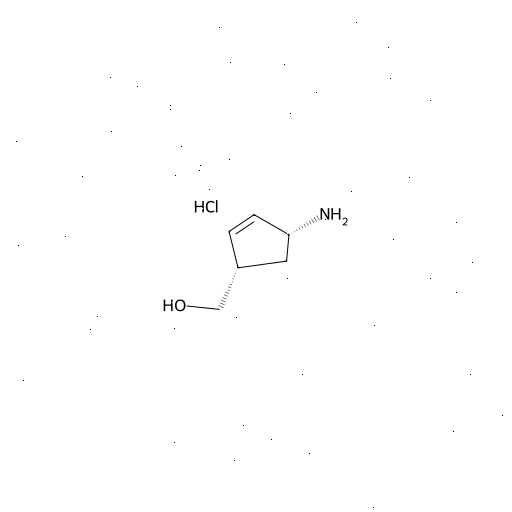 Cl.N[C@H]1C=C[C@@H](CO)C1